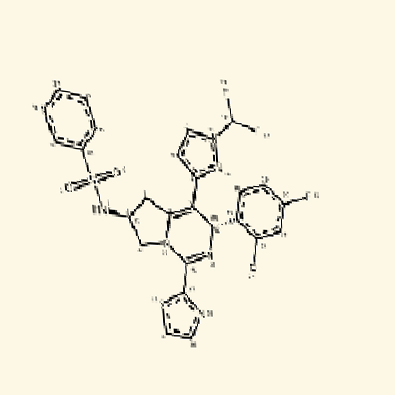 O=S(=O)(N[C@H]1CC2=C(c3ccn(C(F)F)n3)[C@H](c3ccc(F)cc3Cl)N=C(c3nccs3)N2C1)c1cccnc1